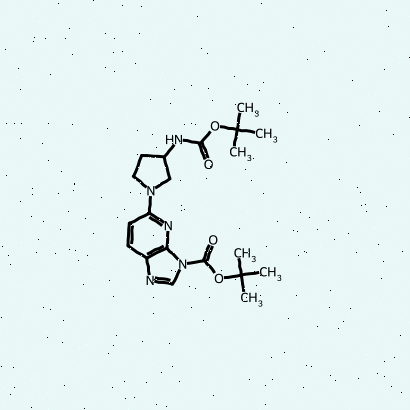 CC(C)(C)OC(=O)NC1CCN(c2ccc3ncn(C(=O)OC(C)(C)C)c3n2)C1